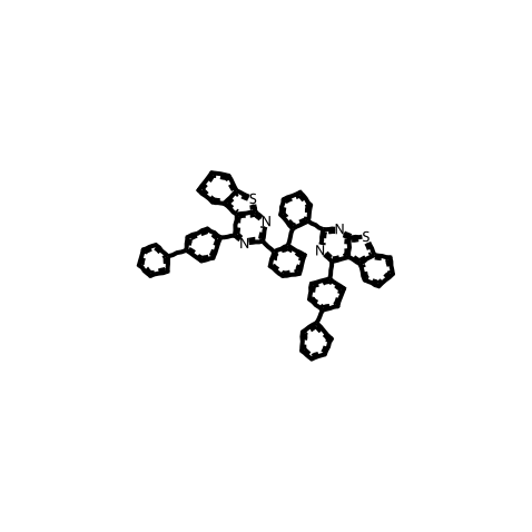 c1ccc(-c2ccc(-c3nc(-c4ccccc4-c4ccccc4-c4nc(-c5ccc(-c6ccccc6)cc5)c5c(n4)sc4ccccc45)nc4sc5ccccc5c34)cc2)cc1